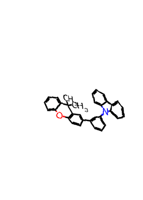 CC1(C)c2ccccc2Oc2ccc(-c3cccc(-n4c5ccccc5c5ccccc54)c3)cc21